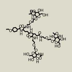 CCOC1CCC(C(=O)NC(CCC(=O)NC(CCC(=O)NCCOCCOC2OC(CO)C(O)C(O)C2NC(C)=O)C(=O)NCCOCCOC2OC(CO)C(O)C(O)C2NC(C)=O)C(=O)NCCOCCOC2OC(CO)C(O)C(O)C2NC(C)=O)CC1